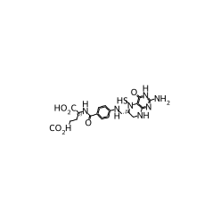 Nc1nc2c(c(=O)[nH]1)N(S)[C@@H](CNc1ccc(C(=O)N[C@@H](CCC(=O)O)C(=O)O)cc1)CN2